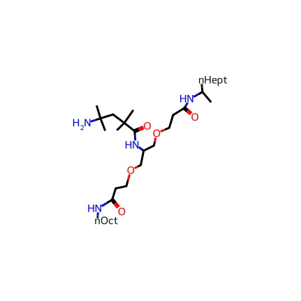 CCCCCCCCNC(=O)CCOCC(COCCC(=O)NC(C)CCCCCCC)NC(=O)C(C)(C)CC(C)(C)N